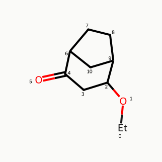 CCOC1CC(=O)C2CCC1C2